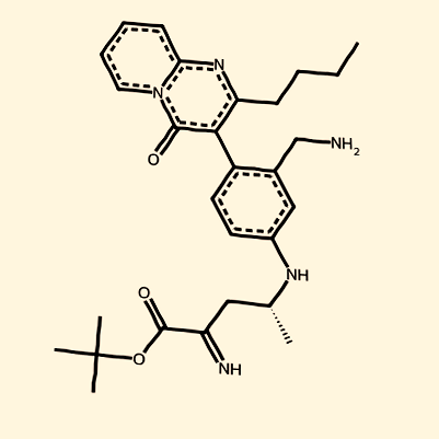 CCCCc1nc2ccccn2c(=O)c1-c1ccc(N[C@H](C)CC(=N)C(=O)OC(C)(C)C)cc1CN